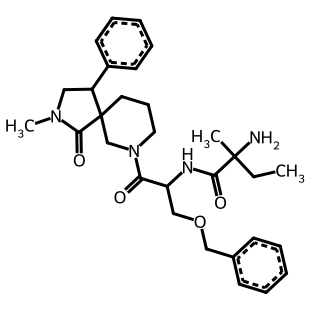 CCC(C)(N)C(=O)NC(COCc1ccccc1)C(=O)N1CCCC2(C1)C(=O)N(C)CC2c1ccccc1